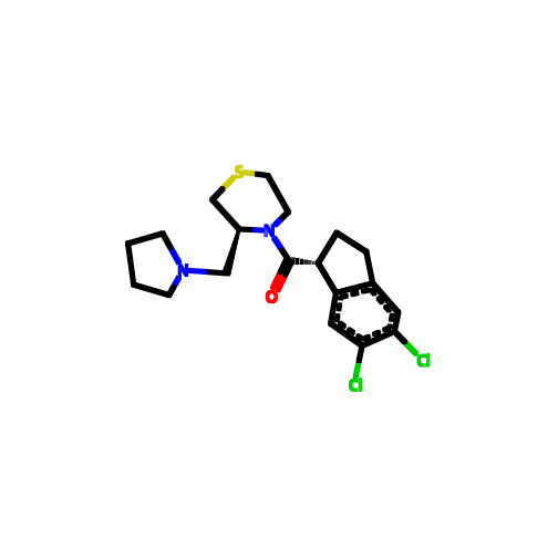 O=C([C@@H]1CCc2cc(Cl)c(Cl)cc21)N1CCSC[C@@H]1CN1CCCC1